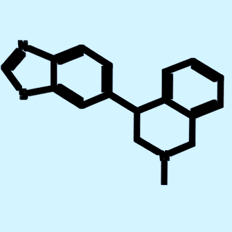 CN1Cc2ccccc2C(c2ccc3ncsc3c2)C1